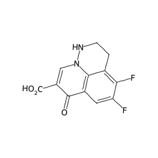 O=C(O)c1cn2c3c(c(F)c(F)cc3c1=O)CCN2